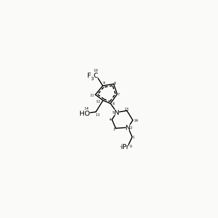 C[C](C)CN1CCN(c2ccc(C(F)(F)F)cc2CO)CC1